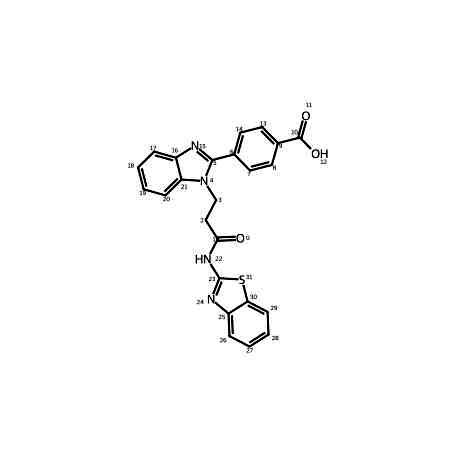 O=C(CCn1c(-c2ccc(C(=O)O)cc2)nc2ccccc21)Nc1nc2ccccc2s1